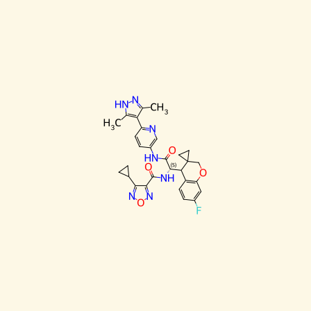 Cc1n[nH]c(C)c1-c1ccc(NC(=O)[C@@H](NC(=O)c2nonc2C2CC2)C2c3ccc(F)cc3OCC23CC3)cn1